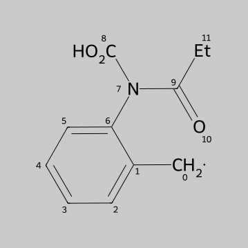 [CH2]c1ccccc1N(C(=O)O)C(=O)CC